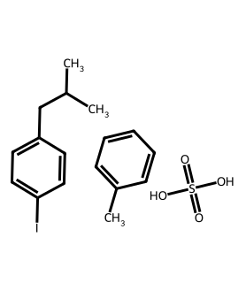 CC(C)Cc1ccc(I)cc1.Cc1ccccc1.O=S(=O)(O)O